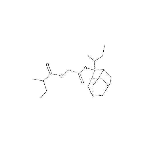 CCC(C)C(=O)OCC(=O)OC1(C(C)CC)C2CC3CC(C2)CC1C3